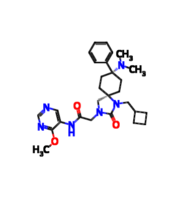 COc1ncncc1NC(=O)CN1C[C@]2(CC[C@@](c3ccccc3)(N(C)C)CC2)N(CC2CCC2)C1=O